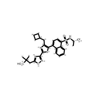 C[C@H](NS(=O)(=O)c1ccc(-c2sc(-c3noc(CC(C)(C)C(=O)O)n3)nc2CC2CCC2)c2ccccc12)C(F)(F)F